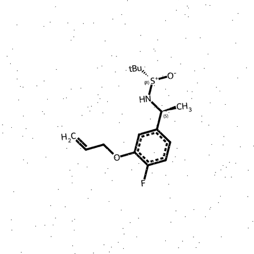 C=CCOc1cc([C@H](C)N[S@@+]([O-])C(C)(C)C)ccc1F